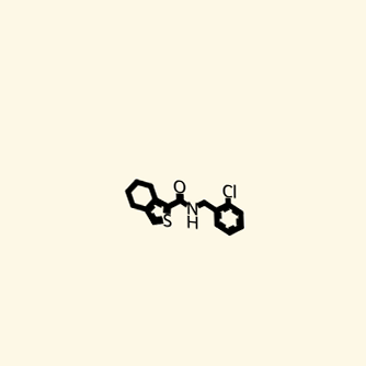 O=C(NCc1ccccc1Cl)c1scc2c1CCCC2